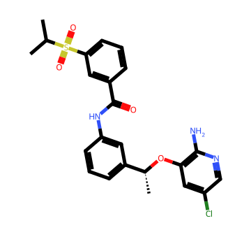 CC(C)S(=O)(=O)c1cccc(C(=O)Nc2cccc([C@@H](C)Oc3cc(Cl)cnc3N)c2)c1